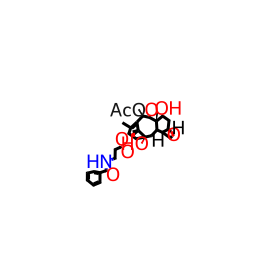 CC(=O)O[C@H]1C(=O)[C@@]2(C)C(C[C@]3(O)C[C@H](OC(=O)CCNC(=O)c4ccccc4)C(C)=C1C3(C)C)[C@@H]1CO[C@@H]1C[C@@H]2O